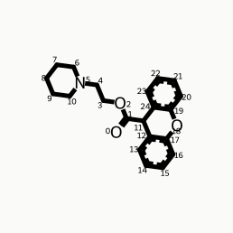 O=C(OCCN1CCCCC1)C1c2ccccc2Oc2ccccc21